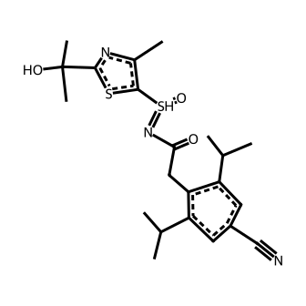 Cc1nc(C(C)(C)O)sc1[SH](=O)=NC(=O)Cc1c(C(C)C)cc(C#N)cc1C(C)C